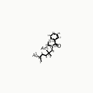 CC(=O)[C@H](C)CCC(C)(C)CN(C(=O)c1ccccc1)[C@@H](C)C(C)=O